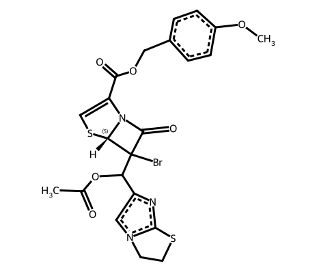 COc1ccc(COC(=O)C2=CS[C@@H]3N2C(=O)C3(Br)C(OC(C)=O)c2cn3c(n2)SCC3)cc1